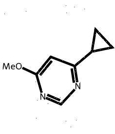 COc1cc(C2CC2)ncn1